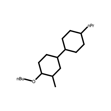 CCCCOC1CCC(C2CCC(CCC)CC2)CC1C